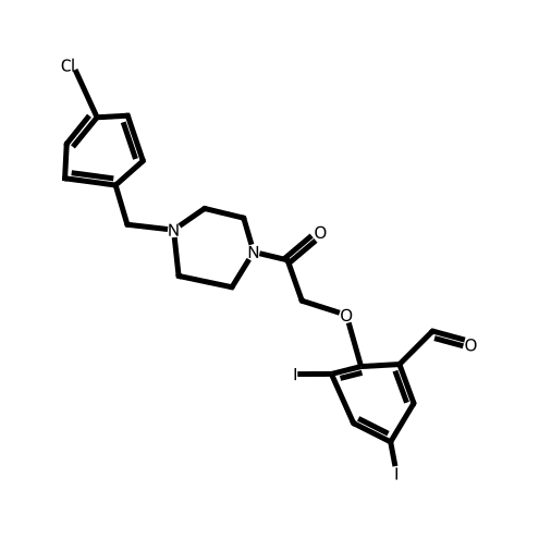 O=Cc1cc(I)cc(I)c1OCC(=O)N1CCN(Cc2ccc(Cl)cc2)CC1